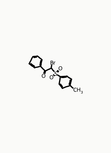 Cc1ccc(S(=O)(=O)C(Br)C(=O)c2ccccc2)cc1